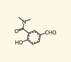 CN(C)C(=O)c1cc(C=O)ccc1O